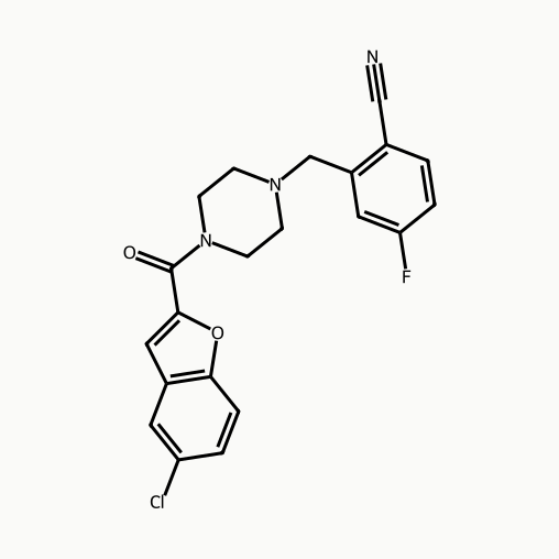 N#Cc1ccc(F)cc1CN1CCN(C(=O)c2cc3cc(Cl)ccc3o2)CC1